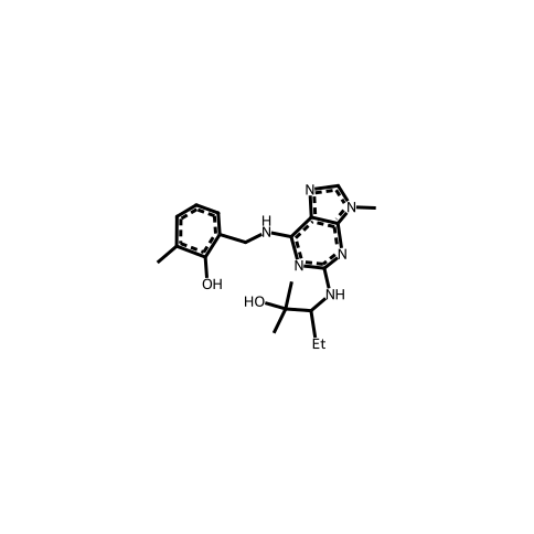 CCC(Nc1nc(NCc2cccc(C)c2O)c2ncn(C)c2n1)C(C)(C)O